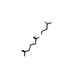 CC(C)[CH]COC(=O)CCCC(=O)O